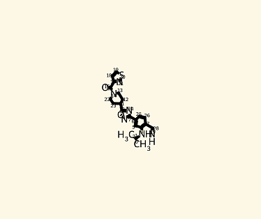 CC(C)Nc1cc(-c2noc(C3CCN(C(=O)c4ccsn4)CC3)n2)ccc1C=N